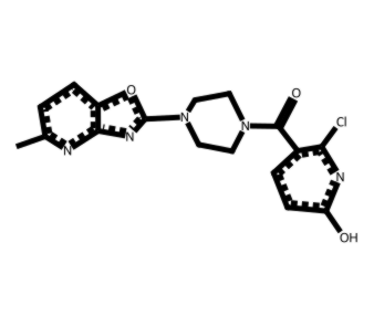 Cc1ccc2oc(N3CCN(C(=O)c4ccc(O)nc4Cl)CC3)nc2n1